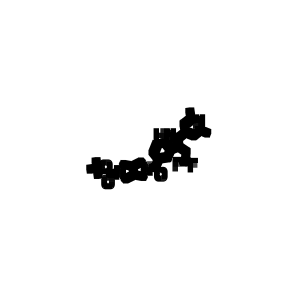 Cc1cc(-c2[nH]c3ccc(C(=O)N4CC5CN(C(=O)OC(C)(C)C)CC5C4)cc3c2CC(F)F)cc(C)n1